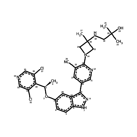 C[C@@H](Oc1ccc2[nH]nc(-c3cnc(N4CC(C)(NCC(C)(C)O)C4)c(C#N)c3)c2c1)c1c(Cl)cncc1Cl